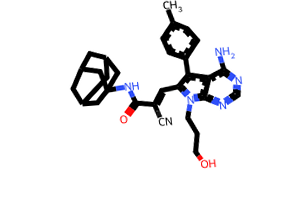 Cc1ccc(-c2c(C=C(C#N)C(=O)NC34CC5CC(CC(C5)C3)C4)n(CCCO)c3ncnc(N)c23)cc1